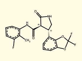 Cc1c(F)cccc1NC(=O)[C@H]1C(=O)NC[C@@H]1c1cccc2c1OC(F)(F)O2